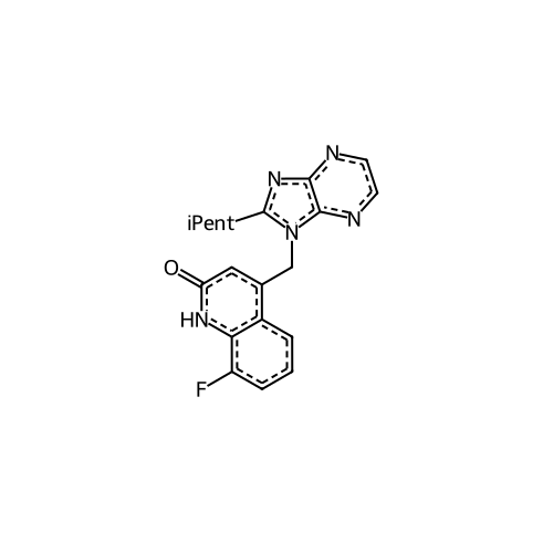 CCCC(C)c1nc2nccnc2n1Cc1cc(=O)[nH]c2c(F)cccc12